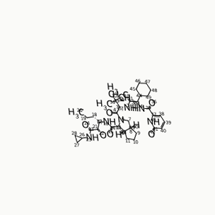 C=C(N[C@H](C(=O)N1C[C@@H]2CCC[C@@H]2[C@H]1C(=O)N[C@@H](CCC)C(=O)C(=O)NC1CC1)C(C)(C)C)[C@@H](NC(=O)c1cccc(=O)[nH]1)C1CCCCC1